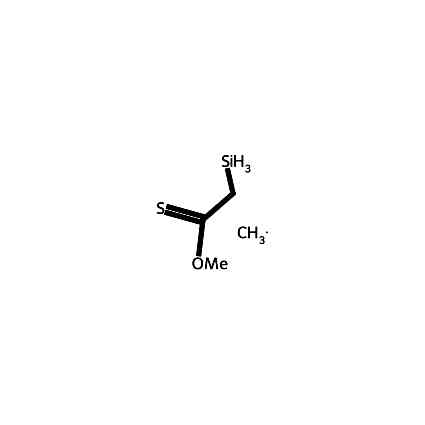 COC(=S)C[SiH3].[CH3]